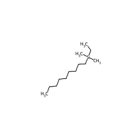 CCCCCCCCC[Si](C)(C)CC